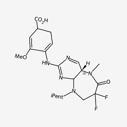 CCCC(C)N1CC(F)(F)C(=O)N(C)[C@H]2C=NC(NC3=CCC(C(=O)O)C=C3OC)=NC21